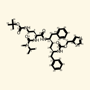 CC(C)N(C)C(=O)N[C@@H](CCNC(=O)OC(C)(C)C)C(=O)N[C@H](CC[C@H](Cc1ccccc1)NC(=O)OCc1cncs1)Cc1ccccc1